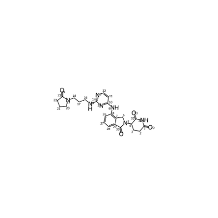 O=C1CCC(N2Cc3c(Nc4ccnc(NCCCN5CCCC5=O)n4)cccc3C2=O)C(=O)N1